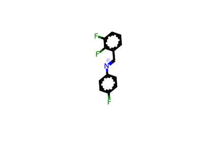 Fc1ccc(/N=C/c2cccc(F)c2F)cc1